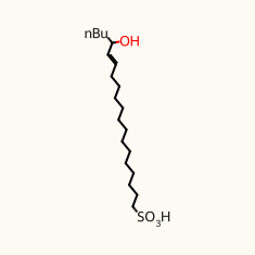 CCCCC(O)C=CCCCCCCCCCCCCCS(=O)(=O)O